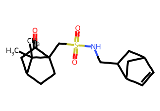 CC1(C)C2CCC1(CS(=O)(=O)NCC1CC3C=CC1C3)C(=O)C2